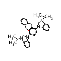 CC(C)N1CN(CC2C3c4ccccc4C(c4ccccc43)C2CN2CN(C(C)C)c3ccccc32)c2ccccc21